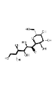 O=C(C1O[C@H](CO)[C@H](O)[C@H](O)[C@H]1O)[C@H](O)[C@@H](O)[C@H](O)[C@H](O)CO